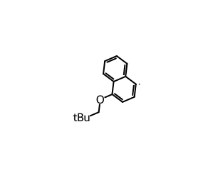 CC(C)(C)COc1cc[c]c2ccccc12